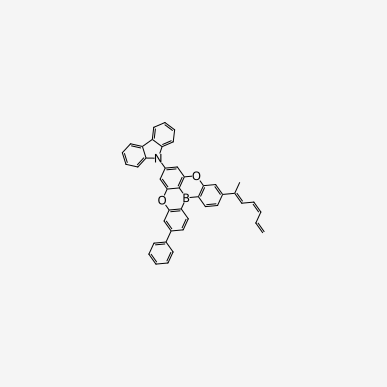 C=C/C=C\C=C(/C)c1ccc2c(c1)Oc1cc(-n3c4ccccc4c4ccccc43)cc3c1B2c1ccc(-c2ccccc2)cc1O3